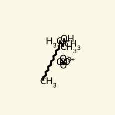 CCCCCCCCCCCCCC[N+](C)(C)C(C)O.[O-][Cl+3]([O-])([O-])[O-]